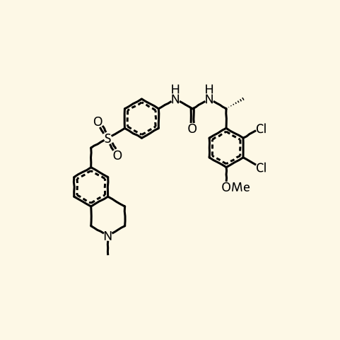 COc1ccc([C@@H](C)NC(=O)Nc2ccc(S(=O)(=O)Cc3ccc4c(c3)CCN(C)C4)cc2)c(Cl)c1Cl